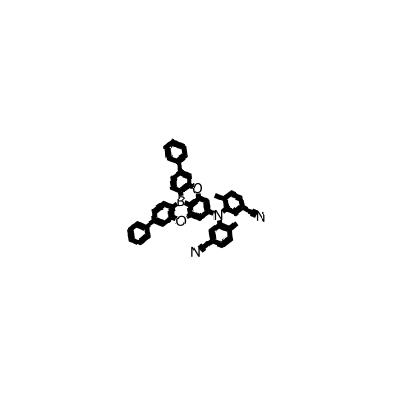 Cc1ccc(C#N)cc1N(c1cc2c3c(c1)Oc1cc(-c4ccccc4)ccc1B3c1ccc(-c3ccccc3)cc1O2)c1cc(C#N)ccc1C